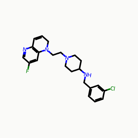 Fc1cnc2c(c1)N(CCN1CCC(NCc3cccc(Cl)c3)CC1)CC=C2